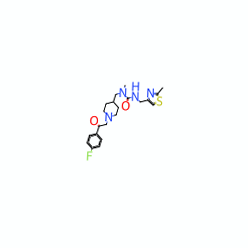 Cc1nc(CNC(=O)N(C)CC2CCN(CC(=O)c3ccc(F)cc3)CC2)cs1